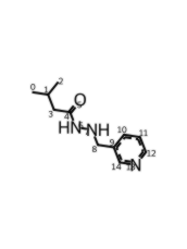 CC(C)CC(=O)NNCc1cccnc1